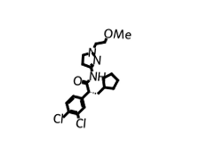 COCCN1CCC(NC(=O)[C@H](CC2CCCC2)c2ccc(Cl)c(Cl)c2)=N1